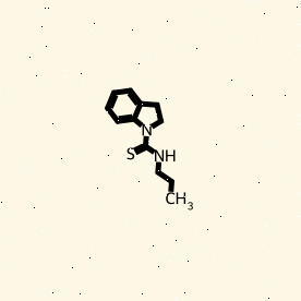 CCCNC(=S)N1CCc2ccccc21